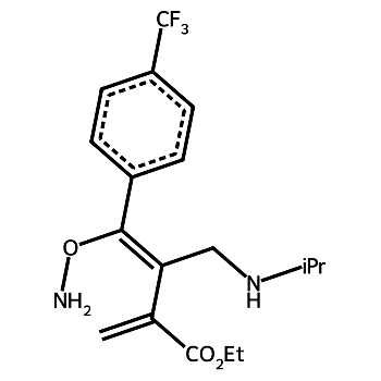 C=C(C(=O)OCC)/C(CNC(C)C)=C(\ON)c1ccc(C(F)(F)F)cc1